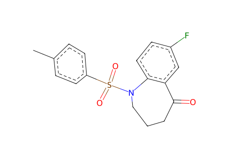 Cc1ccc(S(=O)(=O)N2CCCC(=O)c3cc(F)ccc32)cc1